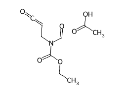 CC(=O)O.CCOC(=O)N(C=O)CC=C=O